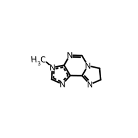 Cn1cnc2c1N=CN1CCN=C21